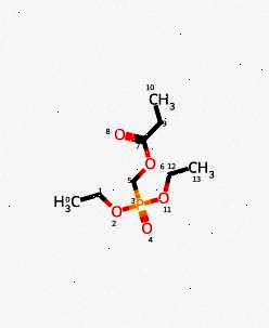 CCOP(=O)(COC(=O)CC)OCC